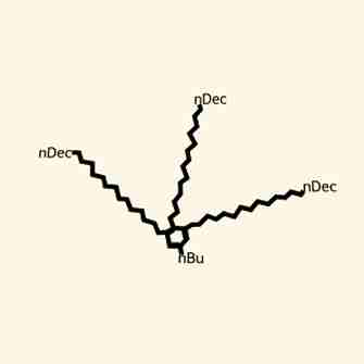 [CH2]CCCc1cc(CCCCCCCCCCCCCCCCCCCCCCCC)c(CCCCCCCCCCCCCCCCCCCCCCCC)c(CCCCCCCCCCCCCCCCCCCCCCCC)c1